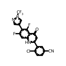 N#Cc1ccc(Cl)c(-c2cc(=O)c3c(F)c(-c4cnn(C(F)(F)F)c4)c(F)cc3[nH]2)c1